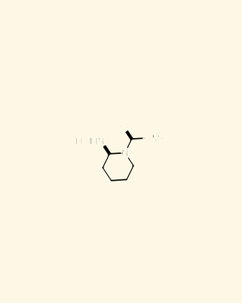 COC(=O)N1CCCCC1=N.Cl